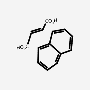 O=C(O)C=CC(=O)O.c1ccc2ccccc2c1